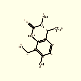 CC(C)(C)OC(=O)Nc1c(CC(=O)O)ccc(O)c1CO